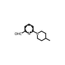 CC1CCN(c2cccc(C=O)n2)CC1